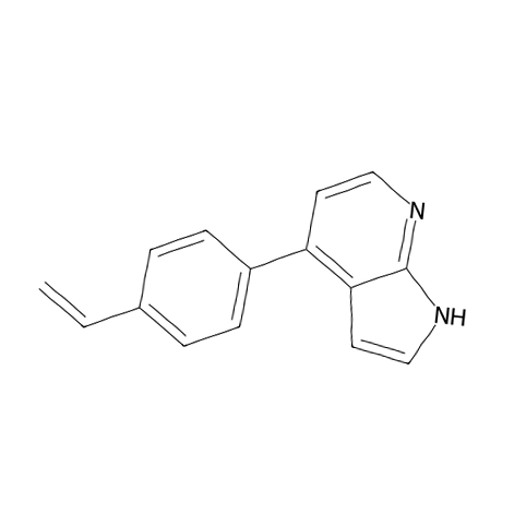 C=Cc1ccc(-c2ccnc3[nH]ccc23)cc1